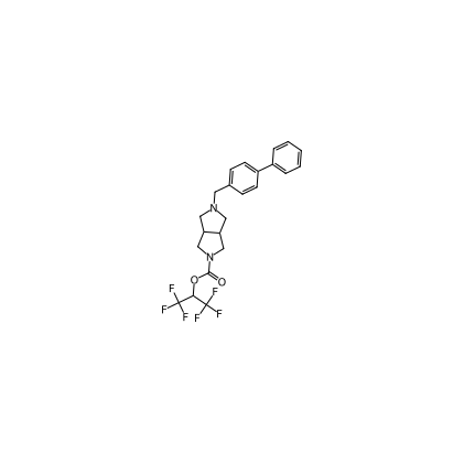 O=C(OC(C(F)(F)F)C(F)(F)F)N1CC2CN(Cc3ccc(-c4ccccc4)cc3)CC2C1